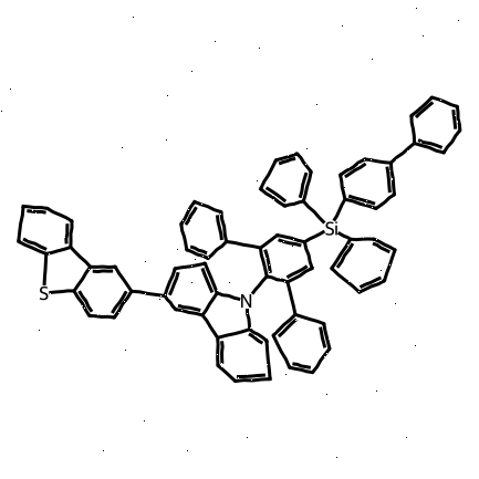 c1ccc(-c2ccc([Si](c3ccccc3)(c3ccccc3)c3cc(-c4ccccc4)c(-n4c5ccccc5c5cc(-c6ccc7sc8ccccc8c7c6)ccc54)c(-c4ccccc4)c3)cc2)cc1